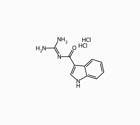 Cl.Cl.NC(N)=NC(=O)c1c[nH]c2ccccc12